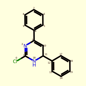 ClC1=NC(c2ccccc2)=CC(c2ccccc2)N1